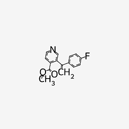 C=C(c1ccc(F)cc1)c1cnccc1C(=O)OC